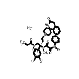 CCN(C(=O)C(=O)N(C)[C@](CCN1CCC2(CC1)NC(=O)Cc1ccccc12)(CN(C)C(=O)CC(F)(F)F)c1ccc(Cl)c(Cl)c1)c1ccccc1.Cl